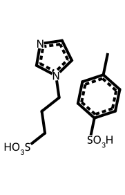 Cc1ccc(S(=O)(=O)O)cc1.O=S(=O)(O)CCCn1ccnc1